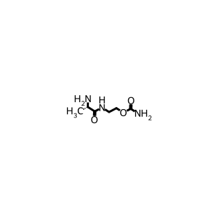 C[C@H](N)C(=O)NCCOC(N)=O